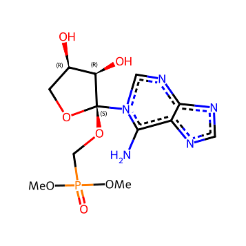 COP(=O)(CO[C@@]1(n2cnc3ncnc-3c2N)OC[C@@H](O)[C@H]1O)OC